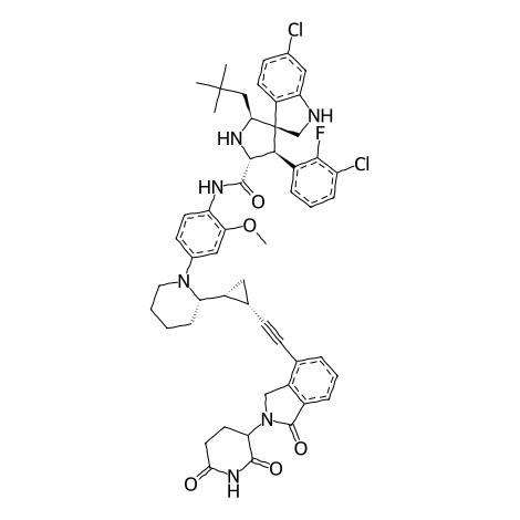 COc1cc(N2CCCC[C@H]2[C@@H]2C[C@@H]2C#Cc2cccc3c2CN(C2CCC(=O)NC2=O)C3=O)ccc1NC(=O)[C@@H]1N[C@@H](CC(C)(C)C)[C@@]2(CNc3cc(Cl)ccc32)[C@H]1c1cccc(Cl)c1F